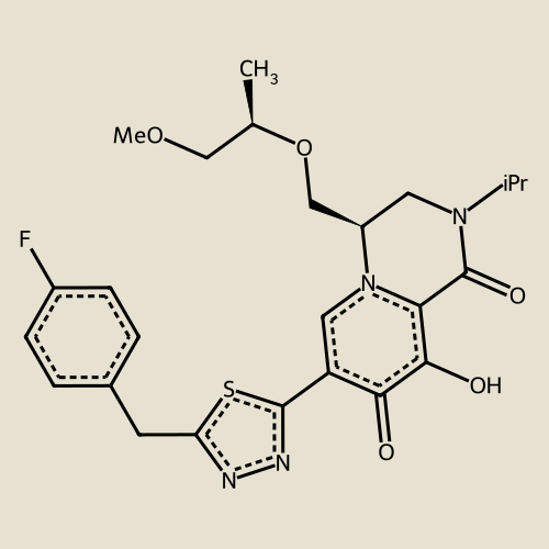 COC[C@@H](C)OC[C@H]1CN(C(C)C)C(=O)c2c(O)c(=O)c(-c3nnc(Cc4ccc(F)cc4)s3)cn21